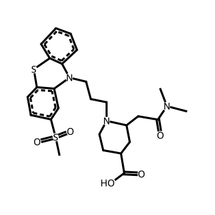 CN(C)C(=O)CC1CC(C(=O)O)CCN1CCCN1c2ccccc2Sc2ccc(S(C)(=O)=O)cc21